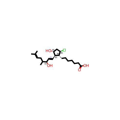 CC(C)=CCC(C)[C@H](O)/C=C/[C@@H]1[C@@H](CCCCCCC(=O)O)[C@H](Cl)C[C@H]1O